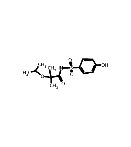 CC(C)OC(C)(C)C(=O)NS(=O)(=O)c1ccc(O)cc1